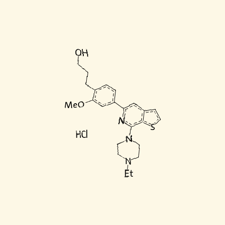 CCN1CCN(c2nc(-c3ccc(CCCO)c(OC)c3)cc3ccsc23)CC1.Cl